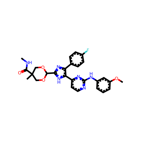 CNC(=O)C1(C)COC(c2nc(-c3ccc(F)cc3)c(-c3ccnc(Nc4cccc(OC)c4)n3)[nH]2)OC1